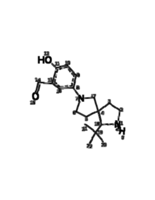 [2H]N1CCC2(CCN(c3ccc(O)c(C=O)c3)C2)C1C(C)(C)C